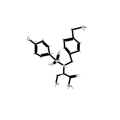 CC(C)C[C@H](C(N)=O)N(Cc1ccc(CO)cc1)S(=O)(=O)c1ccc(Cl)cc1